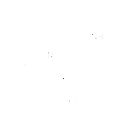 CC1(C)Cc2c(c(Cl)n3c(nc4ccccc43)c2C=N)C1